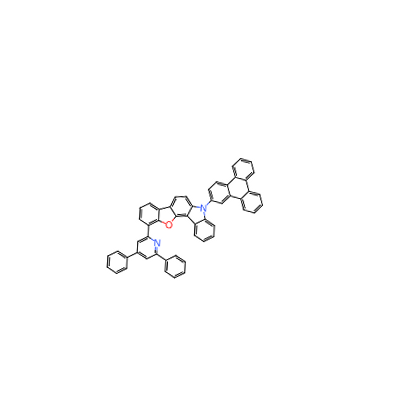 c1ccc(-c2cc(-c3ccccc3)nc(-c3cccc4c3oc3c4ccc4c3c3ccccc3n4-c3ccc4c5ccccc5c5ccccc5c4c3)c2)cc1